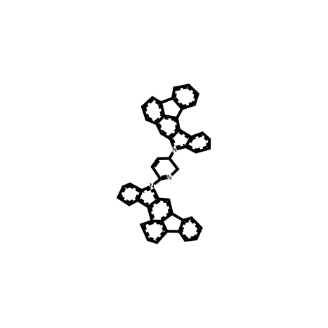 C1=CC(n2c3ccccc3c3c4c5c(cccc5cc32)-c2ccccc2-4)CN=C1n1c2ccccc2c2c3cccc4c3c(cc21)-c1ccccc1-4